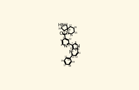 O=C(c1ccnc(-c2cnn3ccc(-c4ccccc4)nc23)c1)N1CCCCC12CCNC2